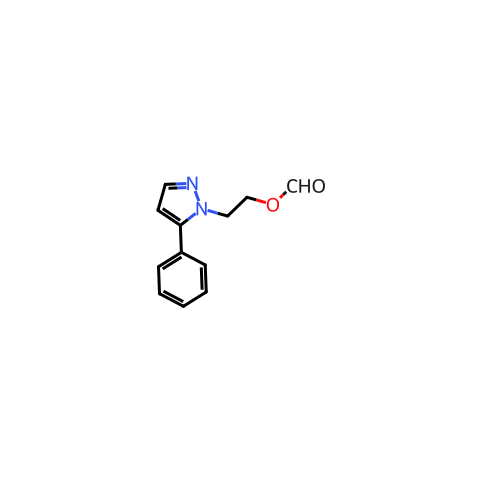 O=COCCn1nccc1-c1ccccc1